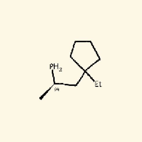 CCC1(C[C@@H](C)P)CCCC1